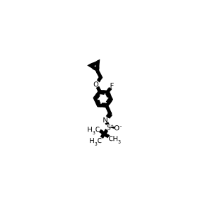 CC(C)(C)[S@+]([O-])/N=C/c1ccc(OCC2CC2)c(F)c1